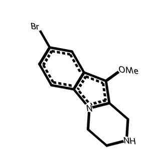 COc1c2n(c3ccc(Br)cc13)CCNC2